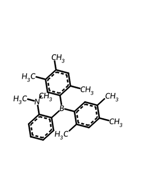 Cc1cc(C)c(B(c2cc(C)c(C)cc2C)c2ccccc2N(C)C)cc1C